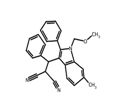 COCn1c(-c2ccccc2)c(C(c2ccccc2)C(C#N)C#N)c2ccc(C)cc21